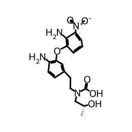 C[C@@H](O)CN(CCc1ccc(N)c(Oc2cccc([N+](=O)[O-])c2N)c1)C(=O)O